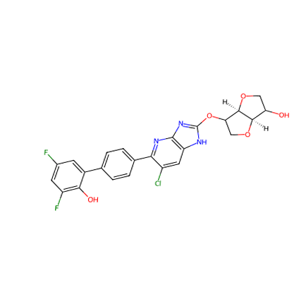 Oc1c(F)cc(F)cc1-c1ccc(-c2nc3nc(OC4CO[C@@H]5C(O)CO[C@H]45)[nH]c3cc2Cl)cc1